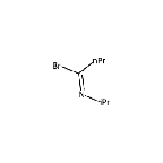 CCC/C(Br)=N\C(C)C